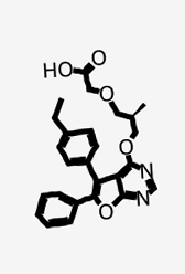 CCc1ccc(-c2c(-c3ccccc3)oc3ncnc(OC[C@H](C)COCC(=O)O)c23)cc1